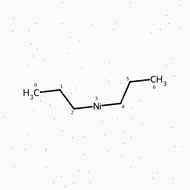 CC[CH2][Ni][CH2]CC